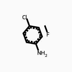 CF.Nc1ccc(Cl)cc1